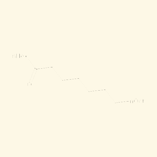 CCCCCCCCCCCCCCC(=O)CCCCCC